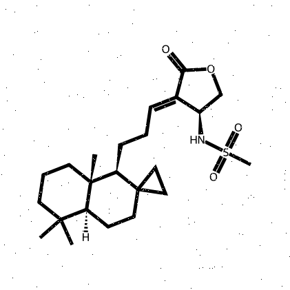 CC1(C)CCC[C@@]2(C)[C@H]1CCC1(CC1)[C@@H]2CC/C=C1/C(=O)OC[C@H]1NS(C)(=O)=O